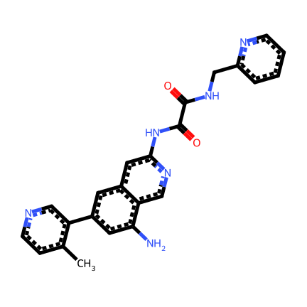 Cc1ccncc1-c1cc(N)c2cnc(NC(=O)C(=O)NCc3ccccn3)cc2c1